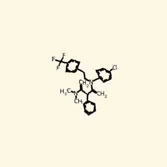 C=C(C(C(=C)N(CCc1ccc(C(F)(F)F)cc1)c1ccc(Cl)cc1)c1ccccc1)N(C)C